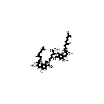 CC(C)=CCC/C(C)=C/CCC1(C)Oc2c(c(O)cc3c2CN(CCCCC(C(=O)O)N2Cc4c(cc(O)c5c4OC(C)(CC/C=C(\C)CCC=C(C)C)C(O)C5)C2=O)C3=O)CC1O